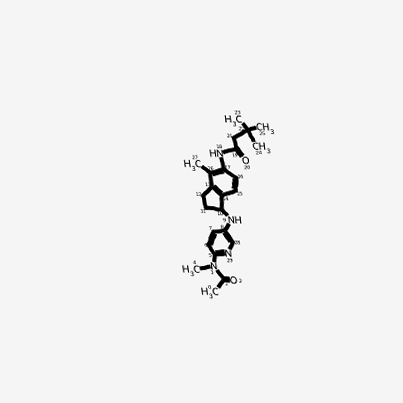 CC(=O)N(C)c1ccc(NC2CCc3c2ccc(NC(=O)CC(C)(C)C)c3C)cn1